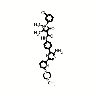 Cc1c(C(=O)Nc2ccc(-c3nc(-c4cccc(N5CCN(C)CC5)n4)cnc3N)cc2)c(=O)n(-c2cccc(Cl)c2)n1C